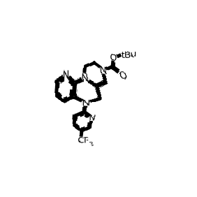 CC(C)(C)OC(=O)N1CCN2c3ncccc3N(c3ccc(C(F)(F)F)cn3)CC2C1